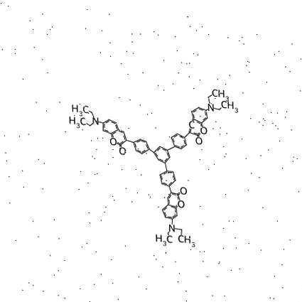 CCN(CC)c1ccc2cc(-c3ccc(-c4cc(-c5ccc(-c6cc7ccc(N(CC)CC)cc7oc6=O)cc5)cc(-c5ccc(-c6cc7ccc(N(CC)CC)cc7oc6=O)cc5)c4)cc3)c(=O)oc2c1